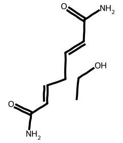 CCO.NC(=O)C=CCC=CC(N)=O